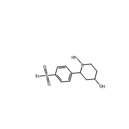 CCCN1CCC(O)CC1c1ccc(S(=O)(=O)CC)cc1